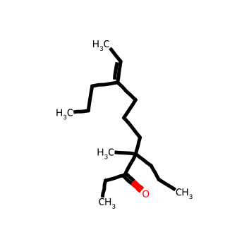 C/C=C(\CCC)CCCC(C)(CCC)C(=O)CC